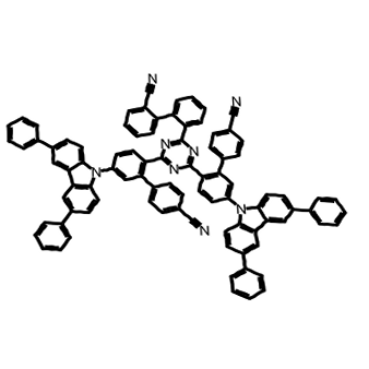 N#Cc1ccc(-c2cc(-n3c4ccc(-c5ccccc5)cc4c4cc(-c5ccccc5)ccc43)ccc2-c2nc(-c3ccc(-n4c5ccc(-c6ccccc6)cc5c5cc(-c6ccccc6)ccc54)cc3-c3ccc(C#N)cc3)nc(-c3ccccc3-c3ccccc3C#N)n2)cc1